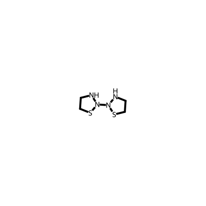 C1CSN(N2NCCS2)N1